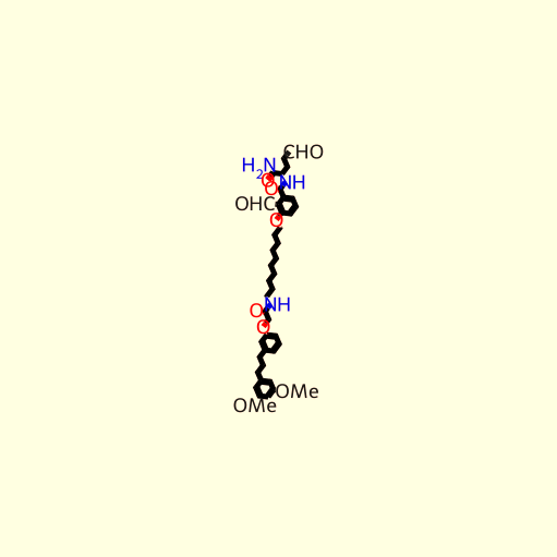 COc1ccc(CCCc2cccc(OCC(=O)NCCCCCCCCCCOc3cccc(C(=O)NC(CCC=O)C(N)=O)c3C=O)c2)cc1OC